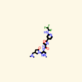 CN(C)CC1CC(=O)N(c2nn(C)cc2NC(=O)c2coc(-c3ccnc(NC(F)C(F)F)c3)n2)C1